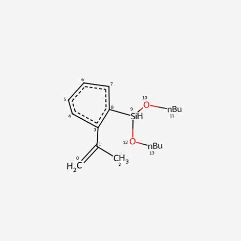 C=C(C)c1ccccc1[SiH](OCCCC)OCCCC